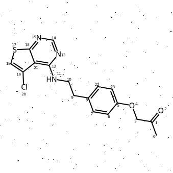 CC(=O)COc1ccc(CCNc2ncnc3scc(Cl)c23)cc1